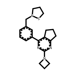 c1cc(CN2CCCS2)cc(-c2nc(N3CCC3)nc3c2CCC3)c1